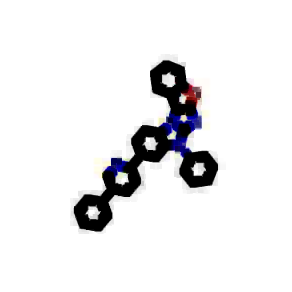 c1ccc(-c2ccc(-c3ccc4c(c3)n(-c3ccccc3)c3nc5oc6ccccc6c5n43)nc2)cc1